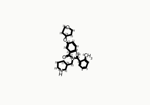 Cc1ccccc1-c1nc2ccc(OC3CCOCC3)cc2c(=O)n1CC1CCCNC1